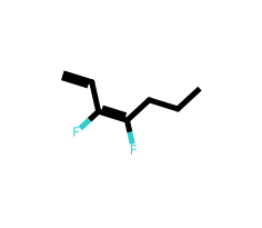 C=C/C(F)=C(/F)CCC